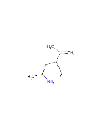 C=C(C)C(CI)CC(C)N